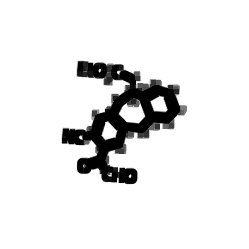 CCOC(=O)C[C@H]1Cc2cc(C#N)c(C(=O)C=O)cc2Cc2ccccc21